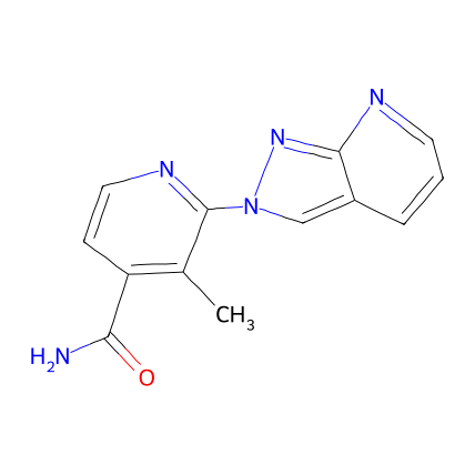 Cc1c(C(N)=O)ccnc1-n1cc2cccnc2n1